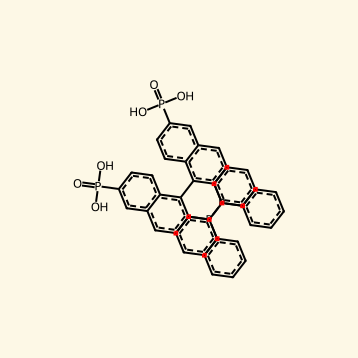 O=P(O)(O)c1ccc2c(-c3c(P(c4ccccc4)c4ccccc4)ccc4cc(P(=O)(O)O)ccc34)c(P(c3ccccc3)c3ccccc3)ccc2c1